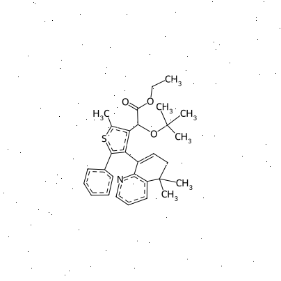 CCOC(=O)C(OC(C)(C)C)c1c(C)sc(-c2ccccc2)c1C1=CCC(C)(C)c2cccnc21